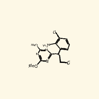 COc1nc(OC)nc(C(CCl)c2cccc(Cl)c2N)n1